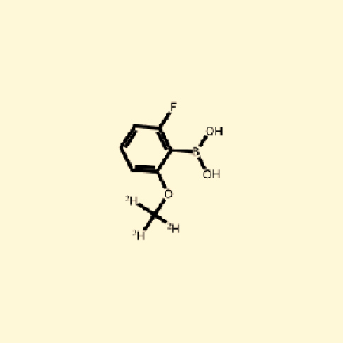 [2H]C([2H])([2H])Oc1cccc(F)c1B(O)O